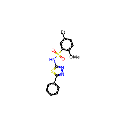 CCc1ccc(OC)c(S(=O)(=O)Nc2nnc(-c3ccccc3)s2)c1